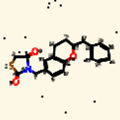 O=C1CSC(=O)N1Cc1ccc2c(c1)CCC(Cc1ccccc1)O2